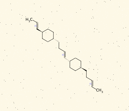 C/C=C/CC[C@H]1CC[C@H](/C=C/CC[C@H]2CC[C@H](/C=C/C)CC2)CC1